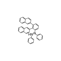 c1ccc(NN(c2ccccc2)c2cccc(-c3ccc4ccccc4c3)c2-c2ccc3ccccc3c2)cc1